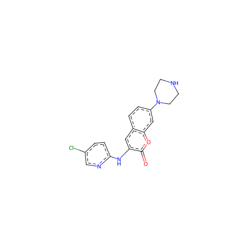 O=c1oc2cc(N3CCNCC3)ccc2cc1Nc1ccc(Cl)cn1